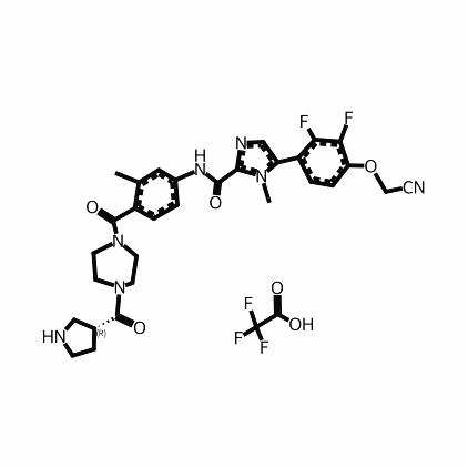 Cc1cc(NC(=O)c2ncc(-c3ccc(OCC#N)c(F)c3F)n2C)ccc1C(=O)N1CCN(C(=O)[C@@H]2CCNC2)CC1.O=C(O)C(F)(F)F